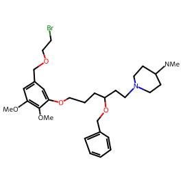 CNC1CCN(CCC(CCCOc2cc(COCCBr)cc(OC)c2OC)OCc2ccccc2)CC1